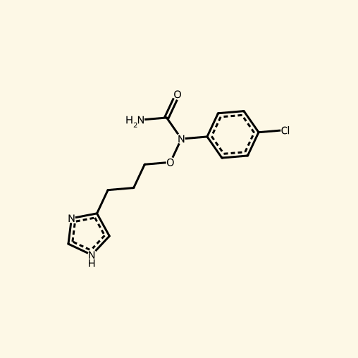 NC(=O)N(OCCCc1c[nH]cn1)c1ccc(Cl)cc1